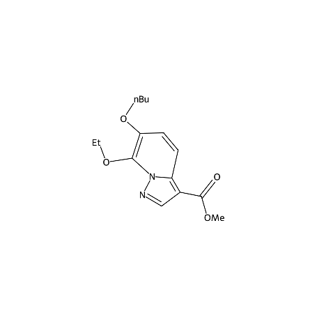 CCCCOc1ccc2c(C(=O)OC)cnn2c1OCC